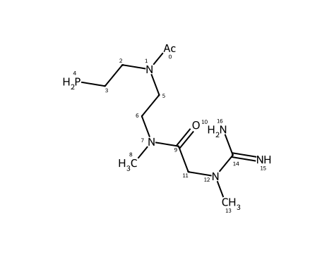 CC(=O)N(CCP)CCN(C)C(=O)CN(C)C(=N)N